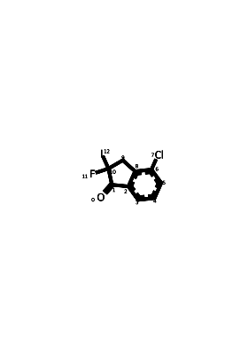 O=C1c2cccc(Cl)c2CC1(F)I